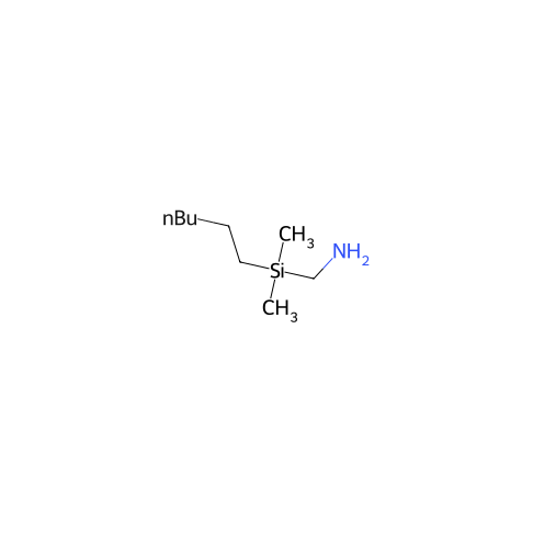 CCCCCC[Si](C)(C)CN